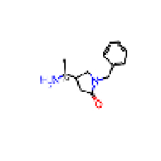 C[C@H](N)C1CC(=O)N(Cc2ccccc2)C1